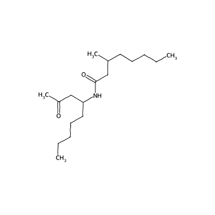 CCCCCC(C)CC(=O)NC(CCCCC)CC(C)=O